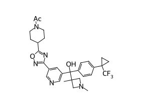 CC(=O)N1CCC(c2nc(-c3cncc(C(O)(c4ccc(C5(C(F)(F)F)CC5)cc4)C4(C)CN(C)C4)c3)no2)CC1